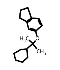 CC(C)(Oc1ccc2c(c1)CCC2)C1CCCCC1